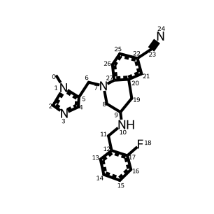 Cn1cncc1CN1CC(NCc2ccccc2F)Cc2cc(C#N)ccc21